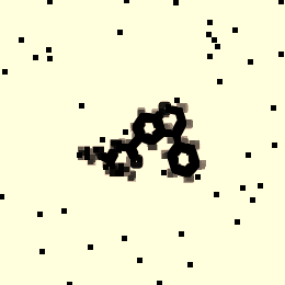 NC(N)=NC(=O)c1ccc2c(c1)C(c1ccccc1)=CCO2